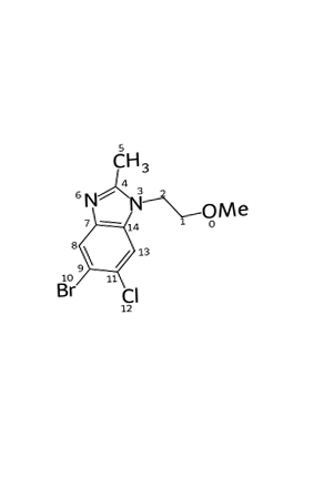 COCCn1c(C)nc2cc(Br)c(Cl)cc21